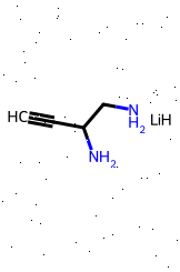 C#CC(N)CN.[LiH]